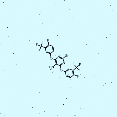 Nc1c(Oc2ccc(F)c(C(F)(F)F)c2)nc(Br)nc1Oc1ccc(F)c(C(F)(F)F)c1